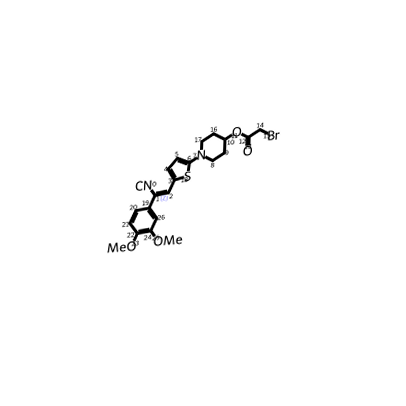 [C-]#[N+]/C(=C\c1ccc(N2CCC(OC(=O)CBr)CC2)s1)c1ccc(OC)c(OC)c1